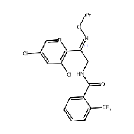 CC(C)O/N=C(/CNC(=O)c1ccccc1C(F)(F)F)c1ncc(Cl)cc1Cl